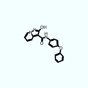 O=C(Nc1ccc(Oc2ccccc2)cc1)c1c(O)nn2ccccc12